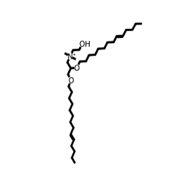 CCCCC=CCCCCCCCCOCC(C[N+](C)(C)CCO)OCCCCCCCCC=CCCCC